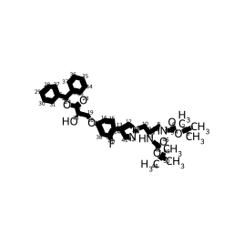 CC(C)(C)OC(=O)NCC(Cn1cc(-c2ccc(OC[C@@H](O)C(=O)OC(c3ccccc3)c3ccccc3)cc2F)cn1)NC(=O)OC(C)(C)C